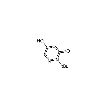 CC(C)(C)n1ncc(O)cc1=O